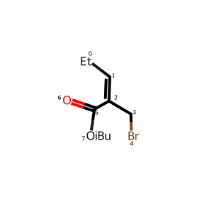 CCC=C(CBr)C(=O)OCC(C)C